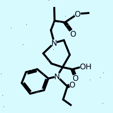 CCC(=O)N(c1ccccc1)C1(C(=O)O)CCN(CC(C)C(=O)OC)CC1